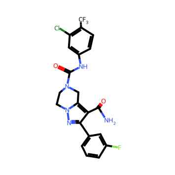 NC(=O)c1c(-c2cccc(F)c2)nn2c1CN(C(=O)Nc1ccc(C(F)(F)F)c(Cl)c1)CC2